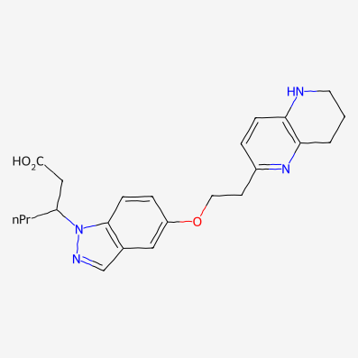 CCCC(CC(=O)O)n1ncc2cc(OCCc3ccc4c(n3)CCCN4)ccc21